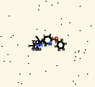 CCCCC(C)(NC(C)c1ccc(Oc2ccccc2)nc1)C(=O)O